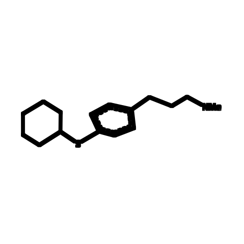 CNCCCc1ccc(SC2CCCCC2)cc1